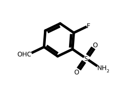 NS(=O)(=O)c1cc(C=O)ccc1F